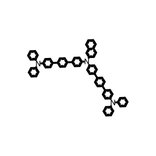 c1ccc(N(c2ccccc2)c2ccc(-c3ccc(-c4ccc(N(c5ccc(-c6ccc(-c7ccc(N(c8ccccc8)c8ccccc8)cc7)cc6)cc5)c5ccc6ccccc6c5)cc4)cc3)cc2)cc1